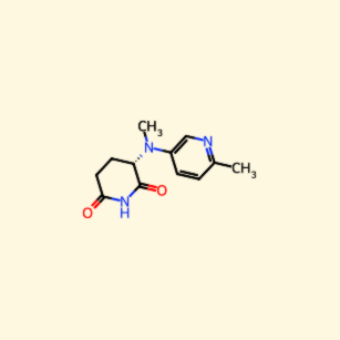 Cc1ccc(N(C)[C@H]2CCC(=O)NC2=O)cn1